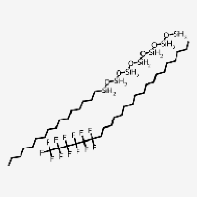 CCCCCCCCCCCCCCCCCCC(F)(F)C(F)(F)C(F)(F)C(F)(F)C(F)(F)C(F)(F)F.CCCCCCCCCCCCCCCC[SiH2]O[SiH2]O[SiH2]O[SiH2]O[SiH2]O[SiH2]O[SiH3]